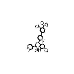 COC(=O)c1ccc(-c2ccc(C(CC(=NO)c3ccnc(C)c3)c3ccc(Cl)cc3F)cc2)cc1Cl